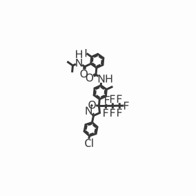 Cc1cc(C2(C(F)(F)C(F)(F)C(F)(F)F)CC(c3ccc(Cl)cc3)=NO2)ccc1NC(=O)c1cccc(I)c1C(=O)NC(C)C